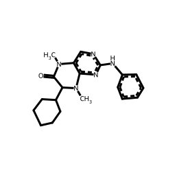 CN1C(=O)C(C2CCCCC2)N(C)c2nc(Nc3ccccc3)ncc21